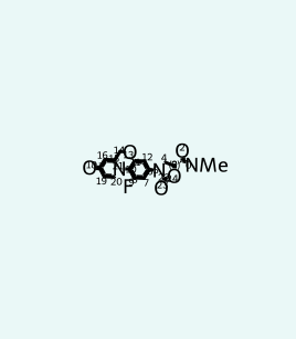 CNC(=O)[C@H]1CN(c2cc(F)c3c(c2)OCc2cc(=O)ccn2-3)C(=O)O1